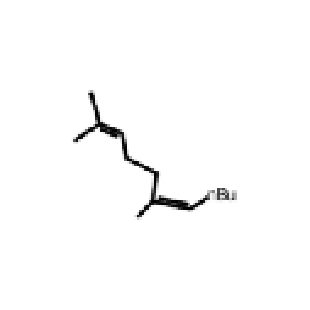 C[CH]CC/C=C(/C)CCC=C(C)C